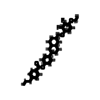 CCCc1ccc(C(=O)Oc2ccc(C3CCC4CC(COC5C=CC(OCC)=C(F)C5F)CCC4C3)cc2)cc1